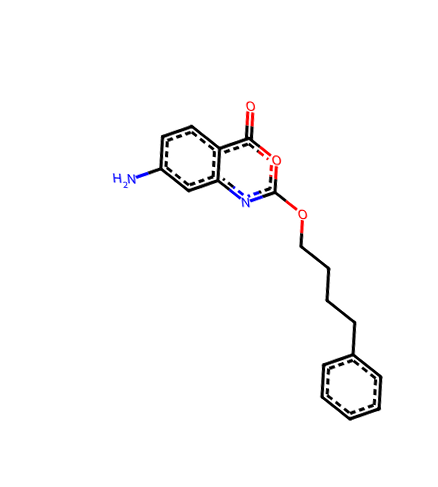 Nc1ccc2c(=O)oc(OCCCCc3ccccc3)nc2c1